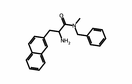 CN(Cc1ccccc1)C(=O)C(N)Cc1ccc2ccccc2c1